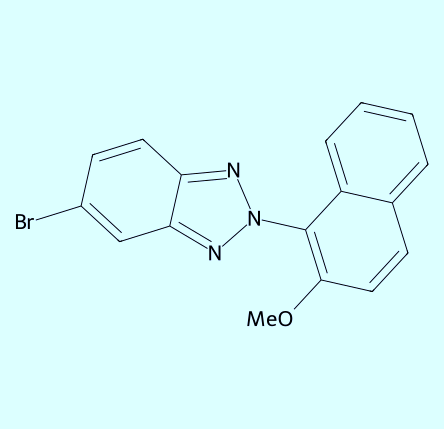 COc1ccc2ccccc2c1-n1nc2ccc(Br)cc2n1